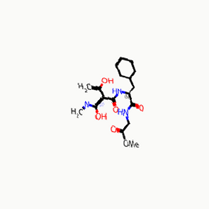 C=N/C(O)=C(\C(=C)O)C(=O)N[C@@H](CC1CCCCC1)C(=O)NCC(=O)OC